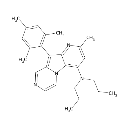 CCCN(CCC)c1cc(C)nc2c(-c3c(C)cc(C)cc3C)c3cnccn3c12